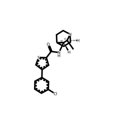 C[C@H]1[C@H](NC(=O)c2cc(-c3cccc(Cl)c3)cs2)C2CCN1CC2